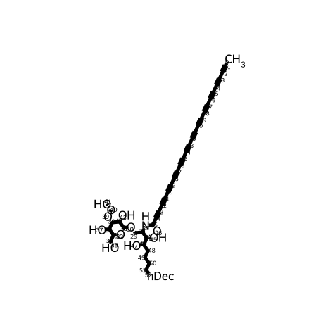 CC#CC#CC#CC#CC#CC#CC#CC#CC#CC#CC#CC#CC(=O)NC(COC1OC(CO)C(O)C(OOO)C1O)[C@H](O)[C@H](O)CCCCCCCCCCCCCC